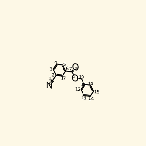 N#Cc1cccc(C(=O)OCc2ccccc2)c1